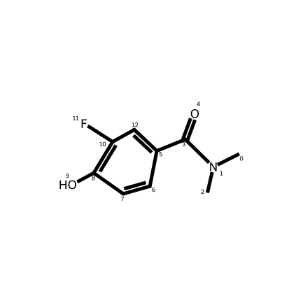 CN(C)C(=O)c1ccc(O)c(F)c1